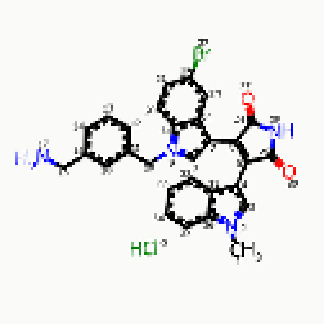 Cl.Cn1cc(C2=C(c3cn(Cc4cccc(CN)c4)c4ccc(Br)cc34)C(=O)NC2=O)c2ccccc21